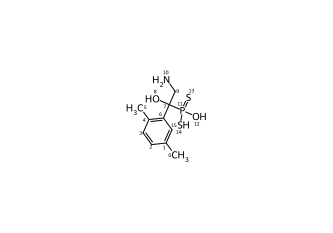 Cc1ccc(C)c(C(O)(CN)P(O)(=S)S)c1